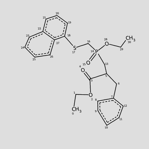 CCOC(=O)C(Cc1ccccc1)CP(=O)(CSc1cccc2ccccc12)OCC